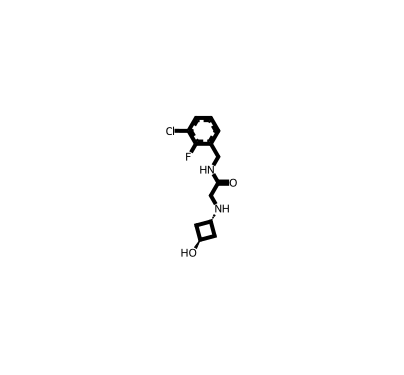 O=C(CN[C@H]1C[C@H](O)C1)NCc1cccc(Cl)c1F